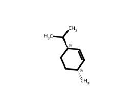 CC(C)[C@H]1C=C[C@H](C)CC1